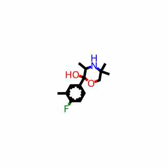 Cc1cc(C2(O)OCC(C)(C)NC2C)ccc1F